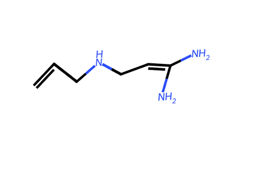 C=CCNCC=C(N)N